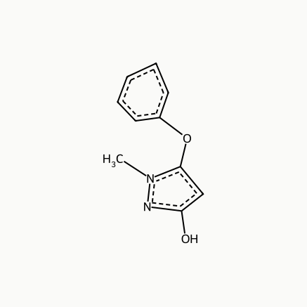 Cn1nc(O)cc1Oc1ccccc1